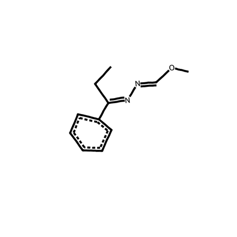 CC/C(=N\N=COC)c1ccccc1